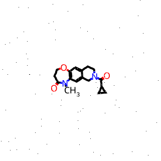 CN1C(=O)CCOc2cc3c(cc21)CN(C(=O)C1CC1)CC3